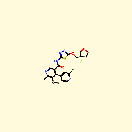 COc1c(C)ncc(C(=O)Nc2nnc(OC[C@]3(F)CCOC3)s2)c1-c1ccnc(Cl)c1